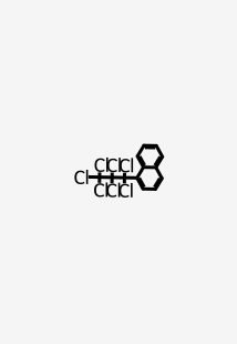 ClC(Cl)(Cl)C(Cl)(Cl)C(Cl)(Cl)c1cccc2ccccc12